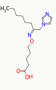 CCCCCC/C(Cn1ccnc1)=N/OCCCCC(=O)O